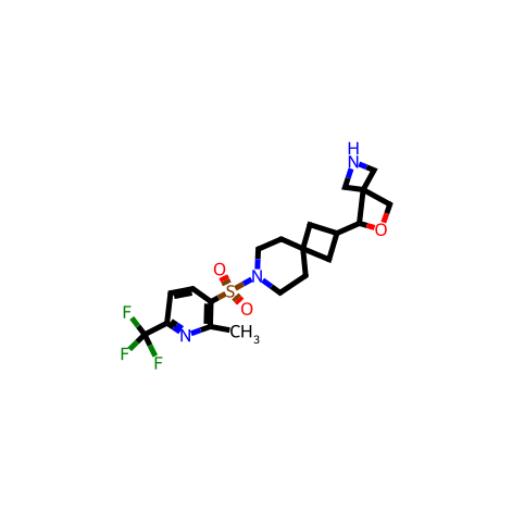 Cc1nc(C(F)(F)F)ccc1S(=O)(=O)N1CCC2(CC1)CC(C1OCC13CNC3)C2